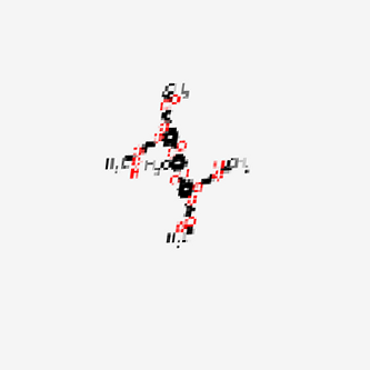 C=CC(=O)OCCCOc1ccc(C(=O)Oc2ccc(OC(=O)c3ccc(OCCCOC(=O)C=C)c(OCCCOC(O)C=C)c3)c(C)c2)cc1OCCCOC(=O)C=C